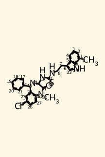 Cc1cccc2c(CCNC(=S)NC3N=C(c4ccccc4)c4cc(Cl)ccc4N(C)C3=O)c[nH]c12